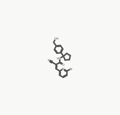 N#CC(=Cc1cccc(Br)n1)C(=O)NC1(c2ccc(CO)cc2)CCCC1